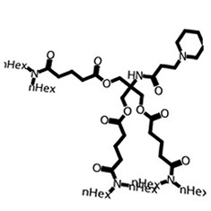 CCCCCCN(CCCCCC)C(=O)CCCC(=O)OCC(COC(=O)CCCC(=O)N(CCCCCC)CCCCCC)(COC(=O)CCCC(=O)N(CCCCCC)CCCCCC)NC(=O)CCN1CCCCC1